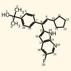 CC(C)(O)c1ccc(/C(=C/C2CCCC2)c2cc3cc(F)cnc3[nH]2)cc1